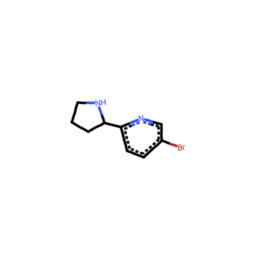 Brc1ccc(C2CCCN2)nc1